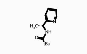 C[C@@H](NC(=O)C(C)(C)C)c1ccccn1